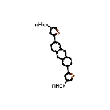 CCCCCCc1csc(-c2ccc3cc4cc(-c5cc(CCCCCC)cs5)ccc4cc3c2)c1